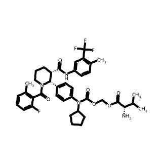 Cc1ccc(NC(=O)[C@H]2CCCN(C(=O)c3c(C)cccc3F)[C@H]2c2ccc(N(C(=O)OCOC(=O)[C@@H](N)C(C)C)C3CCCC3)cc2)cc1C(F)(F)F